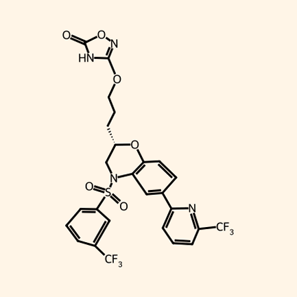 O=c1[nH]c(OCCC[C@H]2CN(S(=O)(=O)c3cccc(C(F)(F)F)c3)c3cc(-c4cccc(C(F)(F)F)n4)ccc3O2)no1